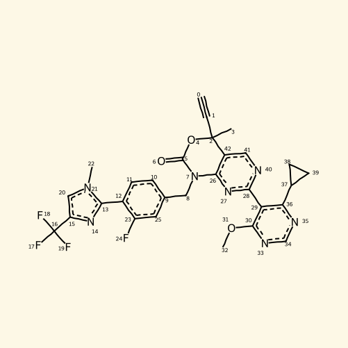 C#CC1(C)OC(=O)N(Cc2ccc(-c3nc(C(F)(F)F)cn3C)c(F)c2)c2nc(-c3c(OC)ncnc3C3CC3)ncc21